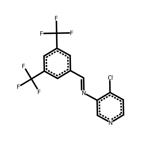 FC(F)(F)c1cc(C=Nc2cnccc2Cl)cc(C(F)(F)F)c1